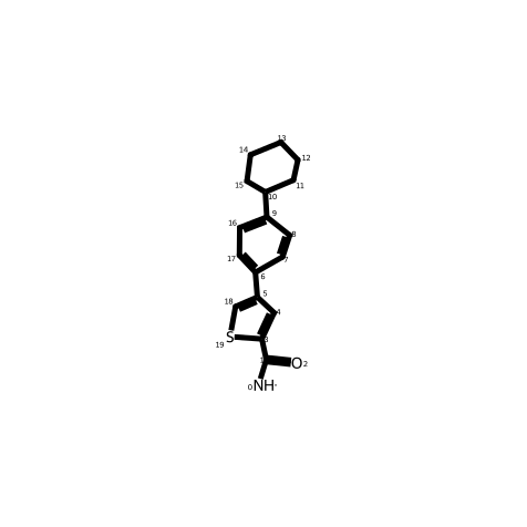 [NH]C(=O)c1cc(-c2ccc(C3CCCCC3)cc2)cs1